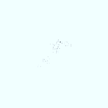 O=C(NC1CCOCC1)N1CCC(O)(Cn2cnc3c(cnn3-c3ccc(F)cc3)c2=O)CC1